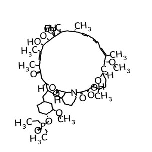 CCP(=O)(CC)O[C@@H]1CCC(CC2[C@H]3CCCN4C(=O)C(=O)C5(O)O[C@@H](CCC5C)C[C@H](OC)/C(C)=C/C=C/C=C/[C@@H](C)CC(C)C(=O)[C@H](OC)C(O)/C(C)=C/C(C)C(=O)C[C@@H]2OC(=O)C34)CC1OC